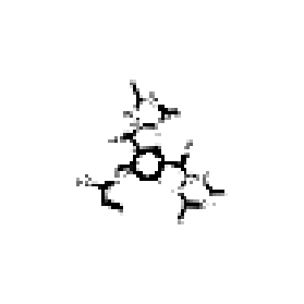 C=CC(=O)O.CCON(OC(C)=O)C(=O)c1ccc(C)c(C(=O)N(OCC)OC(C)=O)c1